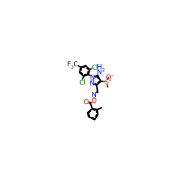 Cc1ccccc1C(=O)O/N=C/c1nn(-c2c(Cl)cc(C(F)(F)F)cc2Cl)c(N)c1[S+](C)[O-]